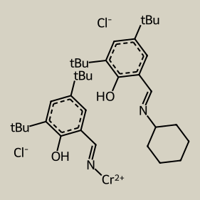 CC(C)(C)c1cc(C=NC2CCCCC2)c(O)c(C(C)(C)C)c1.CC(C)(C)c1cc(C=[N][Cr+2])c(O)c(C(C)(C)C)c1.[Cl-].[Cl-]